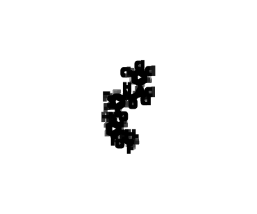 O=C(Nc1ccc(F)c(NC(=O)C(F)F)c1F)c1cc(NC(=O)C2[C@H](c3cc(Cl)c(Cl)c(Cl)c3)C2(Cl)Cl)cc(F)c1F